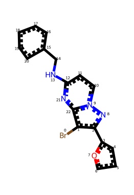 Brc1c(-c2ccco2)nn2ccc(NCc3ccccc3)nc12